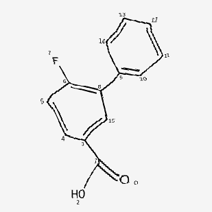 O=C(O)c1ccc(F)c(-c2ccccc2)c1